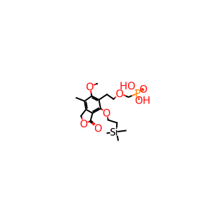 COc1c(C)c2c(c(OCC[Si](C)(C)C)c1CCOCP(=O)(O)O)C(=O)OC2